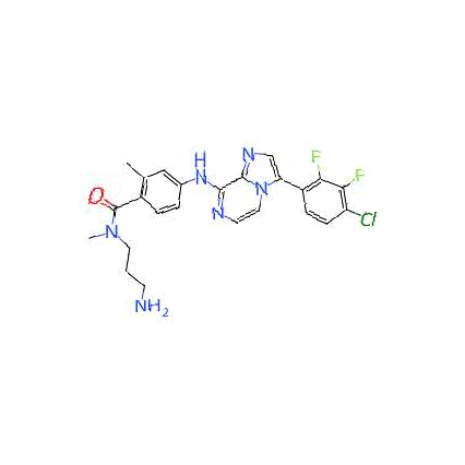 Cc1cc(Nc2nccn3c(-c4ccc(Cl)c(F)c4F)cnc23)ccc1C(=O)N(C)CCCN